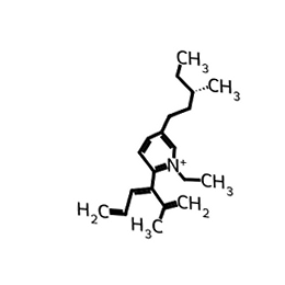 C=C/C=C(\C(=C)C)c1ccc(CC[C@@H](C)CC)c[n+]1CC